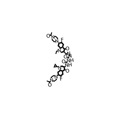 CCn1cc(-c2nnc(NC(=O)Nc3cn(C4CC4)c4cc(N5CCN(C(C)=O)CC5)c(F)cc4c3=O)o2)c(=O)c2cc(F)c(N3CCN(C(C)=O)CC3)cc21